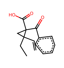 C=CC1(CC)CC1(C(=O)O)C(=O)c1ccccc1